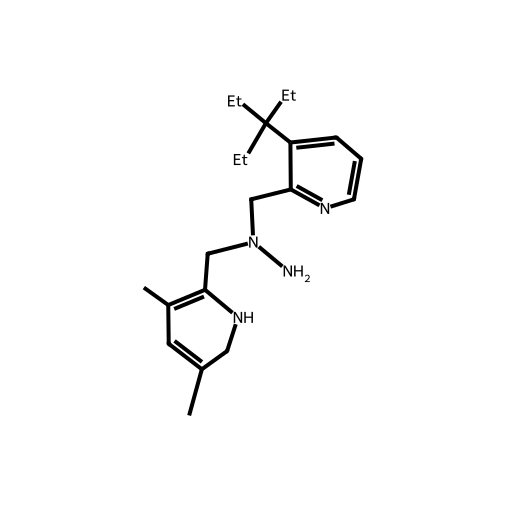 CCC(CC)(CC)c1cccnc1CN(N)CC1=C(C)C=C(C)CN1